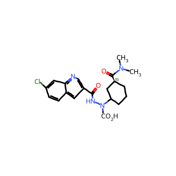 CN(C)C(=O)[C@H]1CCCC(N(NC(=O)c2cnc3cc(Cl)ccc3c2)C(=O)O)C1